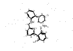 C[C@@H]1C[C@H](N)CN(c2ccncc2NCc2cccc(-c3c(F)cccc3F)n2)C1